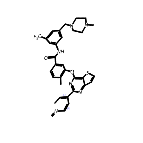 C=N/C=C\C(=C/C)c1nc(Oc2cc(C(=O)Nc3cc(CN4CCN(C)CC4)cc(C(F)(F)F)c3)ccc2C)c2sccc2n1